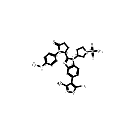 Cc1noc(C)c1-c1ccc2c(c1)nc(C1CCC(=O)N1c1ccc(OC(F)(F)F)cc1)n2C1CCN(S(C)(=O)=O)C1